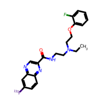 CCN(CCNC(=O)c1cnc2cc([131I])ccc2n1)CCOc1ccccc1F